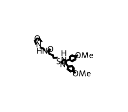 COc1ccc(-c2nc(SCCCCC(=O)NCCN3CCOCC3)[nH]c2-c2ccc(OC)cc2)cc1